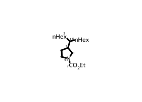 CCCCCCC(CCCCCC)C1CCN(C(=O)OCC)C1